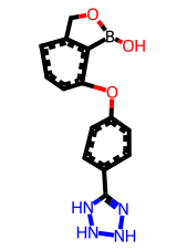 OB1OCc2cccc(Oc3ccc(C4=NNNN4)cc3)c21